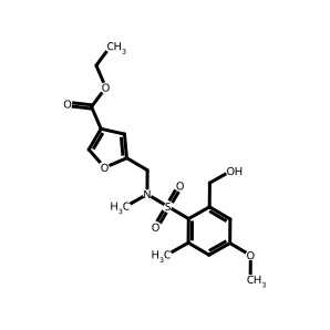 CCOC(=O)c1coc(CN(C)S(=O)(=O)c2c(C)cc(OC)cc2CO)c1